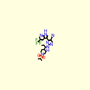 CCC(Nc1ncc(C#N)c(-c2c[nH]c3ncc(C(F)(F)F)cc23)n1)C1CCN(S(=O)(=O)C(C)C)CC1